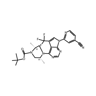 C[C@@H]1CN(c2ncnc3c2c(C(F)(F)F)cn3-c2cc(C#N)ccn2)[C@H](C)CN1C(=O)OC(C)(C)C